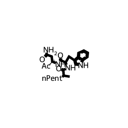 CCCCCC(C)C(=O)NC(Cc1c[nH]c2ccccc12)C(=O)N[C@@H](CC(N)=O)C(C)=O